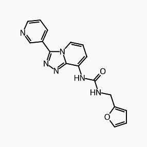 O=C(NCc1ccco1)Nc1cccn2c(-c3cccnc3)nnc12